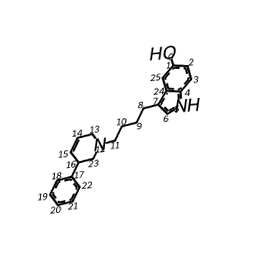 Oc1ccc2[nH]cc(CCCCN3CC=CC(c4ccccc4)C3)c2c1